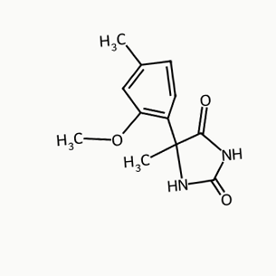 COc1cc(C)ccc1C1(C)NC(=O)NC1=O